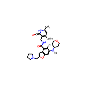 CCc1c(N(CC)C2CCOCC2)cc2oc(CN3CCCC3)cc2c1C(=O)NCC1=C(OC)C=C(C)NC1=C=O